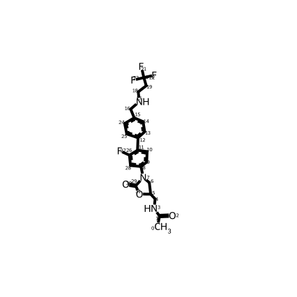 CC(=O)NCC1CN(c2ccc(-c3ccc(CNCCC(F)(F)F)cc3)c(F)c2)C(=O)O1